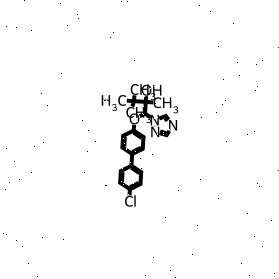 CC(C)(C)C(C)(O)C(Oc1ccc(-c2ccc(Cl)cc2)cc1)n1cncn1